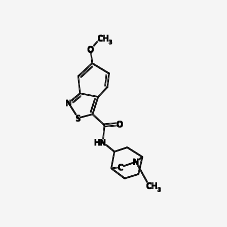 COc1ccc2c(C(=O)NC3CC4CCC3CN4C)snc2c1